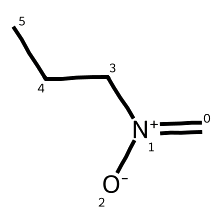 C=[N+]([O-])CCC